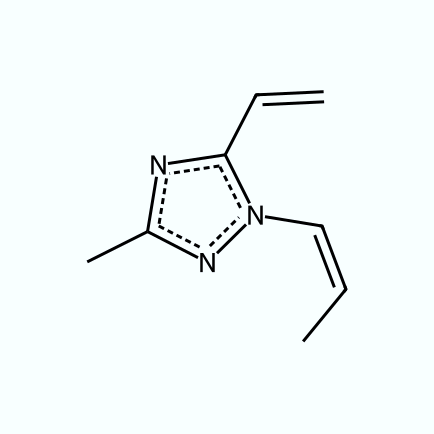 C=Cc1nc(C)nn1/C=C\C